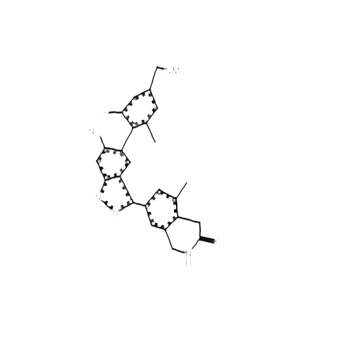 CNCc1cc(C)c(-c2cc3c(-c4cc(C)c5c(c4)CNC(=O)C5)n[nH]c3cc2C#N)c(F)c1